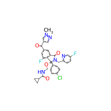 Cn1cc(C(=O)c2cc(F)c3c(c2)C(=O)N(Cc2ccc(F)cn2)[C@@]3(OCNC(=O)C2CC2)c2ccc(Cl)cc2)cn1